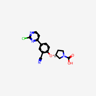 N#Cc1cc(-c2ccnc(Cl)n2)ccc1O[C@@H]1CCN(C(=O)O)C1